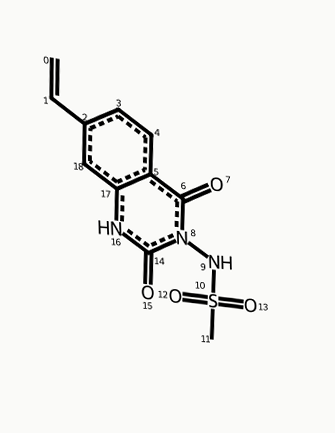 C=Cc1ccc2c(=O)n(NS(C)(=O)=O)c(=O)[nH]c2c1